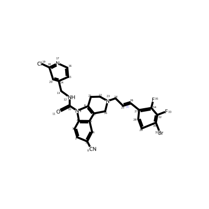 N#Cc1ccc2c(c1)c1c(n2C(=O)NCc2ccnc(Cl)c2)CCN(C/C=C/c2ccc(Br)c(F)c2F)C1